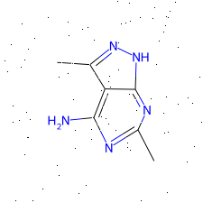 Cc1nc(N)c2c(C)n[nH]c2n1